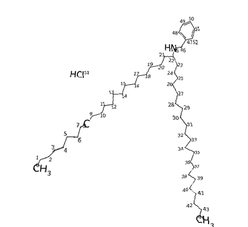 CCCCCCCCCCCCCCCCCCCCCCC(CCCCCCCCCCCCCCCCCCCCCC)NCc1ccccc1.Cl